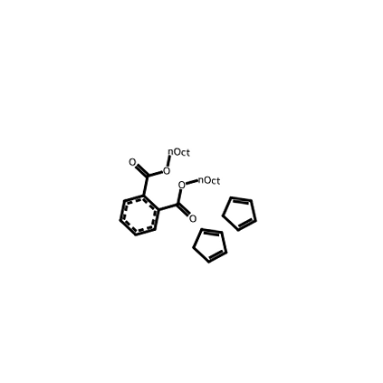 C1=CCC=C1.C1=CCC=C1.CCCCCCCCOC(=O)c1ccccc1C(=O)OCCCCCCCC